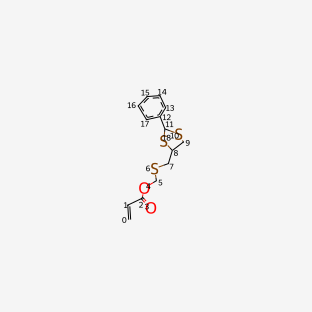 C=CC(=O)OCSCC1CSC(c2ccccc2)S1